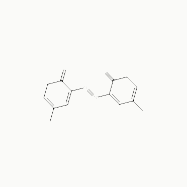 CC1=CCC(=O)C(N=NC2=CC(C)=CCC2=O)=C1